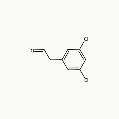 O=CCc1cc(Cl)cc(Cl)c1